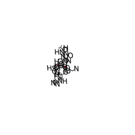 CC(C)C(=O)Nc1nc2c(ncn2[C@@H]2O[C@@H]3[C@@H]4OP(=O)(S)O[C@@H]5C(COP(=O)(OCCC#N)O[C@@H]2[C@]34F)C[C@@H](Nc2ccncn2)[C@@H]5F)c(=O)[nH]1